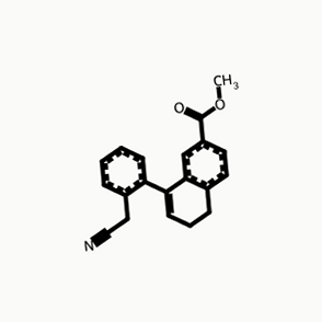 COC(=O)c1ccc2c(c1)C(c1ccccc1CC#N)=CCC2